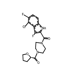 O=C(c1[nH]c2ccc(F)c(Cl)c2c1F)N1CCN(C(=O)[C@H]2CCCO2)CC1